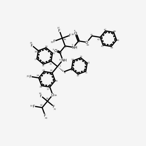 O=C(NC(C(=O)N[C@](Cc1ccccc1)(c1ccc(F)cc1)c1cc(F)cc(OC(F)(F)C(F)F)c1)C(F)(F)F)OCc1ccccc1